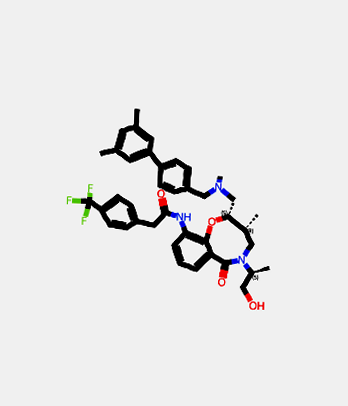 Cc1cc(C)cc(-c2ccc(CN(C)C[C@H]3Oc4c(NC(=O)Cc5ccc(C(F)(F)F)cc5)cccc4C(=O)N([C@@H](C)CO)C[C@H]3C)cc2)c1